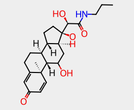 CCCNC(=O)[C@H](O)[C@@]1(O)CC[C@H]2[C@@H]3CCC4=CC(=O)C=C[C@]4(C)[C@H]3C(O)C[C@@]21C